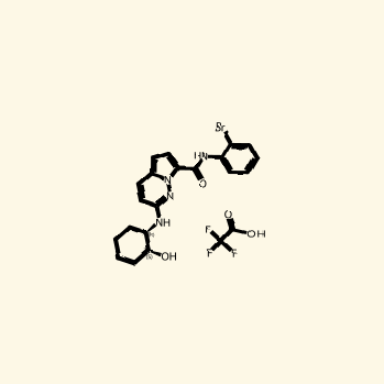 O=C(Nc1ccccc1Br)c1ccc2ccc(N[C@@H]3CCCC[C@@H]3O)nn12.O=C(O)C(F)(F)F